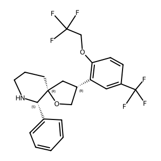 FC(F)(F)COc1ccc(C(F)(F)F)cc1[C@@H]1CO[C@]2(CCCN[C@H]2c2ccccc2)C1